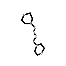 C1CN(SSSSN2CCOCC2)CCO1